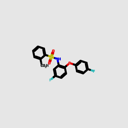 O=C(O)c1ccccc1S(=O)(=O)Nc1cc(F)ccc1Oc1ccc(F)cc1